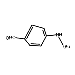 CC(C)(C)Nc1ccc(C=O)cc1